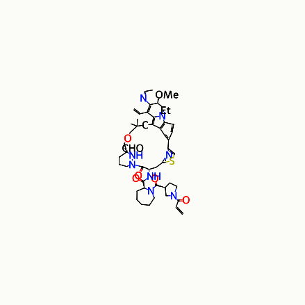 C=CC(=O)N1CC[C@H](C(=O)N2CCCCC[C@H]2C(=O)N[C@H]2Cc3nc(cs3)-c3ccc4c(c3)c(c(/C(C=C)=C(/N=C\C)[C@H](C)OC)n4CC)CC(C)(C)COC[C@@]3(C=O)CCCN(N3)C2=O)C1